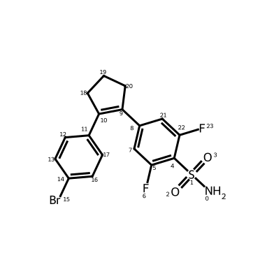 NS(=O)(=O)c1c(F)cc(C2=C(c3ccc(Br)cc3)CCC2)cc1F